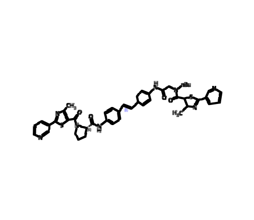 CCCCN(CC(=O)NC1=CCC(/C=C/c2ccc(NC(=O)[C@@H]3CCCN3C(=O)c3sc(-c4cccnc4)nc3C)cc2)C=C1)C(=O)C1SC(c2cccnc2)=NC1C